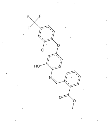 COC(=O)c1ccccc1/C=N\c1ccc(Oc2ccc(C(F)(F)F)cc2Cl)cc1O